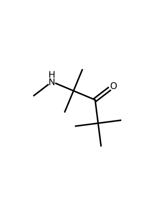 CNC(C)(C)C(=O)C(C)(C)C